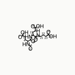 O=CNC(CCC(=O)O)C(=O)NC(CCC(=O)O)C(=O)NCCCC(=O)O